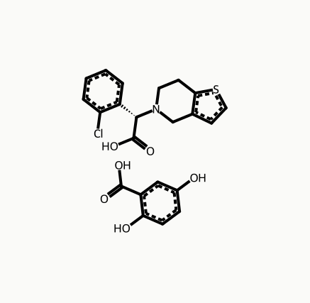 O=C(O)[C@H](c1ccccc1Cl)N1CCc2sccc2C1.O=C(O)c1cc(O)ccc1O